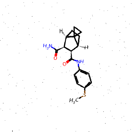 CSc1ccc(NC(=O)[C@H]2[C@@H](C(N)=O)[C@H]3CC[C@@H]2C32CC2)cc1